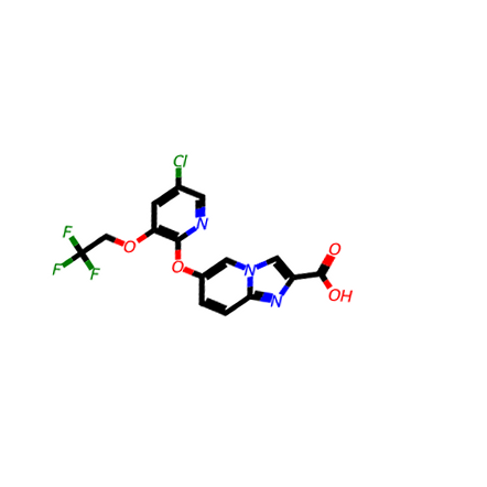 O=C(O)c1cn2cc(Oc3ncc(Cl)cc3OCC(F)(F)F)ccc2n1